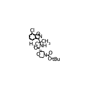 CC(C)(C)OC(=O)N1CCO[C@H](C(=O)NC(C)(C)c2noc3c(Cl)cccc23)C1